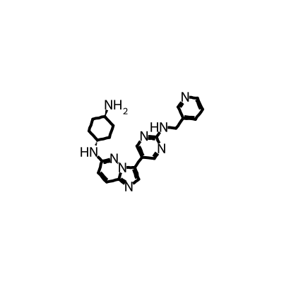 N[C@H]1CC[C@H](Nc2ccc3ncc(-c4cnc(NCc5cccnc5)nc4)n3n2)CC1